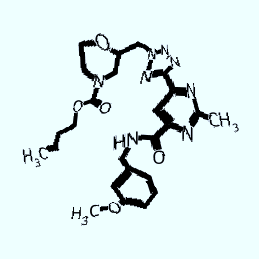 CCCCOC(=O)N1CCOC(Cn2nnc(-c3cc(C(=O)NCc4cccc(OC)c4)nc(C)n3)n2)C1